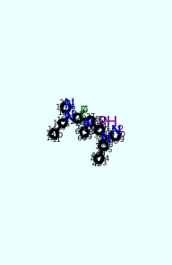 Fc1cc(N(c2ccc(-c3ccccc3)cc2)c2cccnc2)ccc1-c1ccc(-c2ccc(N(c3ccc(-c4ccccc4)cc3)c3cccnc3)cc2P)n1-c1ccccc1